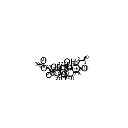 C=CCC1=C[C@@]2(C)C(=CC1=O)CC[C@@H]1[C@@H]2[C@@H](O)C[C@@]2(C)[C@H]1CC[C@]2(O)C(=O)COC(C)=O